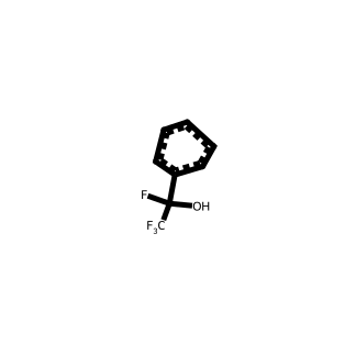 OC(F)(c1ccccc1)C(F)(F)F